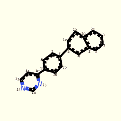 c1ccc2cc(-c3ccc(-c4ccncn4)cc3)ccc2c1